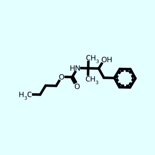 CCCCOC(=O)NC(C)(C)C(O)Cc1ccccc1